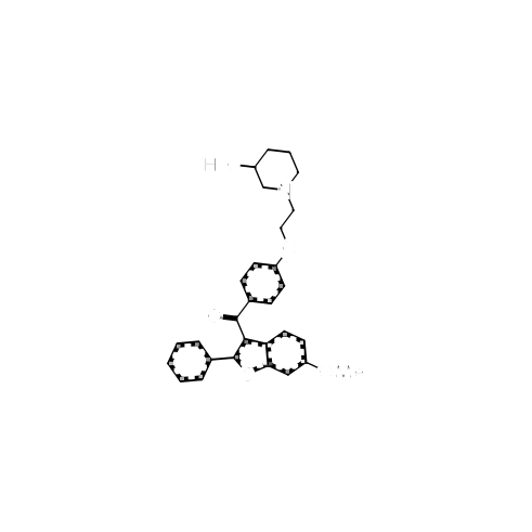 COc1ccc2c(C(=O)c3ccc(OCCN4CCCC(C)C4)cc3)c(-c3ccccc3)sc2c1